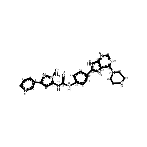 Cn1nc(-c2cccnc2)cc1NC(=O)Nc1ccc(-c2nc3c(N4CCOCC4)ncnc3[nH]2)cc1